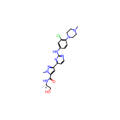 C[C@@H](CO)NC(=O)c1cc(-c2ccnc(Nc3ccc(N4CCN(C)CC4)c(Cl)c3)n2)nn1C